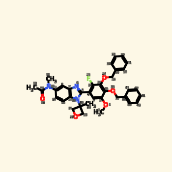 COc1cc(-c2nc3cc(N(C)C(C)=O)ccc3n2C2(C)COC2)c(F)c(OCc2ccccc2)c1OCc1ccccc1